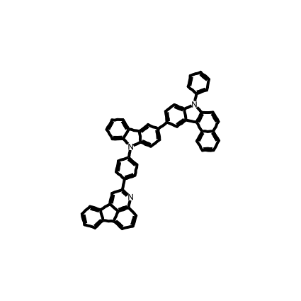 c1ccc(-n2c3ccc(-c4ccc5c(c4)c4ccccc4n5-c4ccc(-c5cc6c7c(cccc7n5)-c5ccccc5-6)cc4)cc3c3c4ccccc4ccc32)cc1